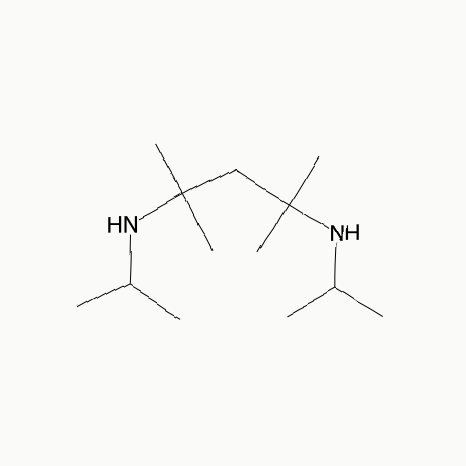 CC(C)NC(C)(C)CC(C)(C)NC(C)C